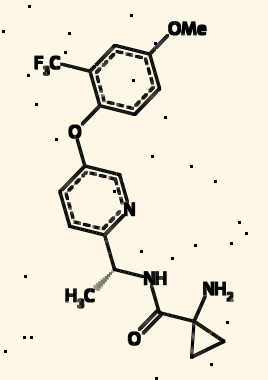 COc1ccc(Oc2ccc([C@@H](C)NC(=O)C3(N)CC3)nc2)c(C(F)(F)F)c1